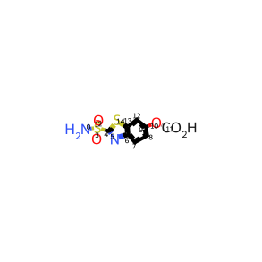 NS(=O)(=O)c1nc2ccc(OC(=O)O)cc2s1